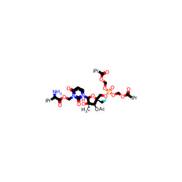 CC(=O)O[C@@H]1[C@@](CF)(COP(=O)(OCOC(=O)C(C)C)OCOC(=O)C(C)C)OC(n2ccc(=O)n(COC(=O)C(N)C(C)C)c2=O)[C@]1(C)O